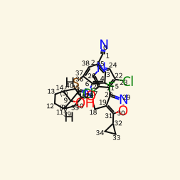 N#Cc1cc(F)c2nc(C3(O)[C@@H]4CC[C@H]3CC(OCc3c(-c5c(Cl)cncc5Cl)noc3C3CC3)C4)sc2c1